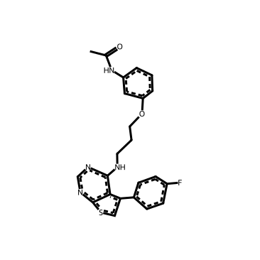 CC(=O)Nc1cccc(OCCCNc2ncnc3scc(-c4ccc(F)cc4)c23)c1